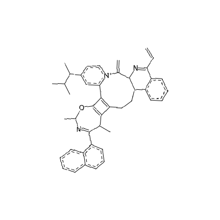 C=CC1=NC2C(=C)[n+]3ccc(C(C)C(C)C)cc3C3=C(CCC2c2ccccc21)C1=C3OC(C)N=C(c2cccc3ccccc23)C1C